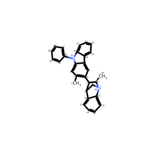 Cc1cc2c(cc1C1C3CN(c4ccccc43)[C@@H]1C)c1ccccc1n2-c1ccccc1